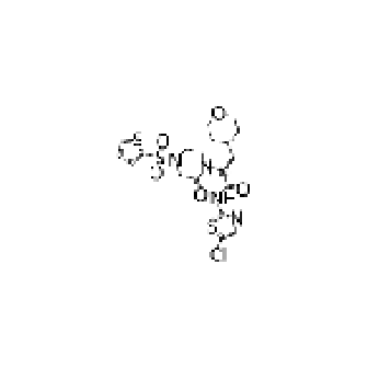 O=C(Nc1ncc(Cl)s1)[C@H](CC1CCOCC1)N1CCN(S(=O)(=O)c2cccs2)CC1=O